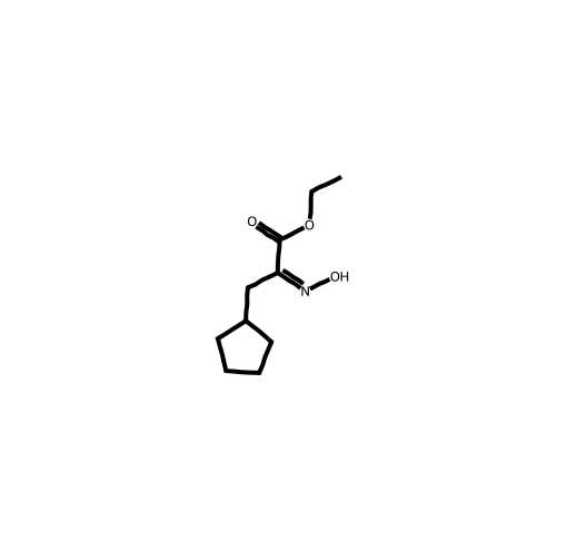 CCOC(=O)C(CC1CCCC1)=NO